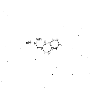 CCCN(CCC)CC1COc2cc[c]cc2O1